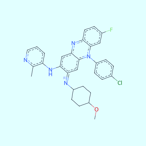 COC1CCC(/N=c2\cc3n(-c4ccc(Cl)cc4)c4cc(F)ccc4nc-3cc2Nc2cccnc2C)CC1